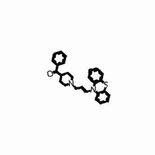 O=C(c1ccccc1)C1CCN(CC=CN2c3ccccc3Sc3ccccc32)CC1